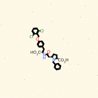 O=C(C[C@H]1CC[C@@H](C(=O)O)N1Cc1ccccc1)N[C@@H](Cc1ccc(OCc2c(Cl)cccc2Cl)cc1)C(=O)O